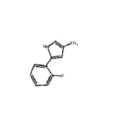 Cc1c[nH]c(-c2ccccc2F)c1